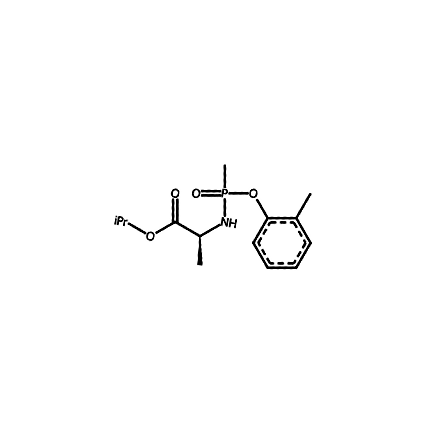 Cc1ccccc1OP(C)(=O)N[C@@H](C)C(=O)OC(C)C